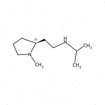 CC(C)NCC[C@@H]1CCCN1C